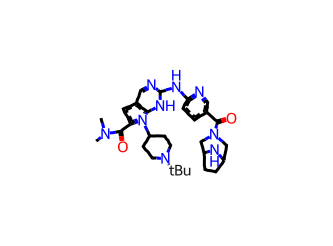 CN(C)C(=O)c1cc2c(n1C1CCN(C(C)(C)C)CC1)NC(Nc1ccc(C(=O)N3CC4CCC(C3)N4)cn1)N=C2